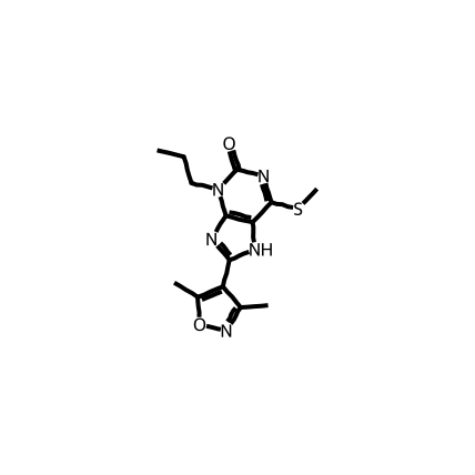 CCCn1c(=O)nc(SC)c2[nH]c(-c3c(C)noc3C)nc21